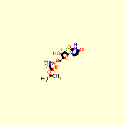 CC(C)OC(=O)[C@H](C)N[PH](=O)OC[C@H]1O[C@@H](n2ccc(=O)[nH]c2=O)[C@@](F)(Cl)[C@@H]1O